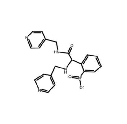 O=C(NCc1ccncc1)C(NCc1ccncc1)c1ccccc1[N+](=O)[O-]